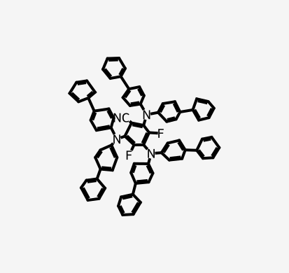 N#Cc1c(N(c2ccc(-c3ccccc3)cc2)c2ccc(-c3ccccc3)cc2)c(F)c(N(c2ccc(-c3ccccc3)cc2)c2ccc(-c3ccccc3)cc2)c(F)c1N(c1ccc(-c2ccccc2)cc1)c1ccc(-c2ccccc2)cc1